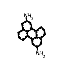 Nc1cc2cccc3c4cc(N)cc5cccc(c(c1)c23)c54